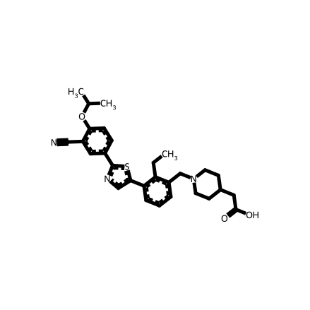 CCc1c(CN2CCC(CC(=O)O)CC2)cccc1-c1cnc(-c2ccc(OC(C)C)c(C#N)c2)s1